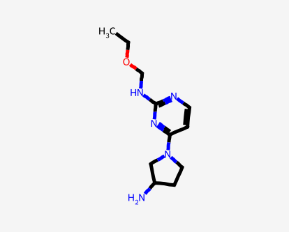 CCOCNc1nccc(N2CCC(N)C2)n1